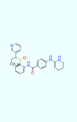 O=C(O)CC(c1cccnc1)[S+]([O-])c1ccccc1NC(=O)c1ccc(NC2=CCCCN2)cc1